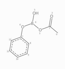 CC(=O)OB(O)Oc1ccccc1